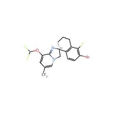 Fc1c(Br)ccc2c1CCC[C@@]21CN2C=C(C(F)(F)F)C=C(OC(F)F)C2=N1